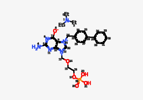 CCN(CC)CC.Nc1nc([O-])c2c(n1)n(COCCOP(=O)(O)O)c[n+]2Cc1ccc(-c2ccccc2)cc1